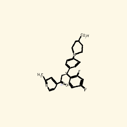 Cc1cc(/C(C[C@@H](c2ccc(N3CCC(C(=O)O)CC3)cc2)c2ccc(F)cc2F)=N/O)ccn1